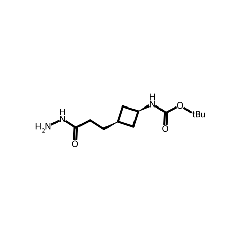 CC(C)(C)OC(=O)N[C@H]1C[C@@H](CCC(=O)NN)C1